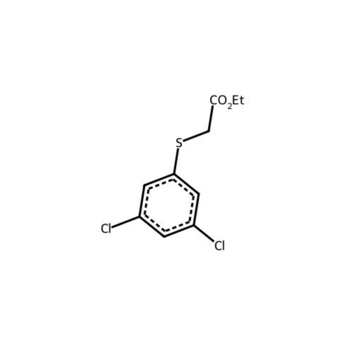 CCOC(=O)CSc1cc(Cl)cc(Cl)c1